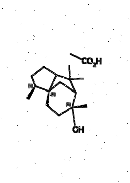 CC(=O)O.C[C@H]1CCC2C(C)(C)C3C[C@@]21CC[C@@]3(C)O